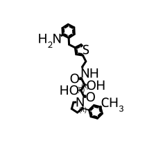 Cc1cccc([C@H]2CCCN2C(=O)[C@H](O)[C@@H](O)C(=O)NCCc2cc(Cc3ccccc3N)cs2)c1